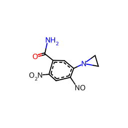 NC(=O)c1cc(N2CC2)c(N=O)cc1[N+](=O)[O-]